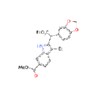 CCOC(=O)C(c1ccc2c(c1)OCO2)c1[nH]c2cc(C(=O)OC)ccc2c1CC